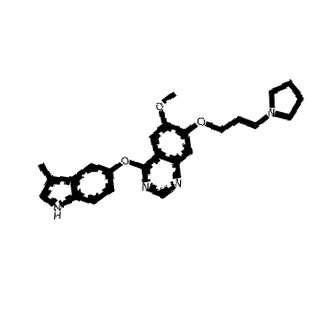 COc1cc2c(Oc3ccc4[nH]cc(C)c4c3)ncnc2cc1OCCCN1CCCC1